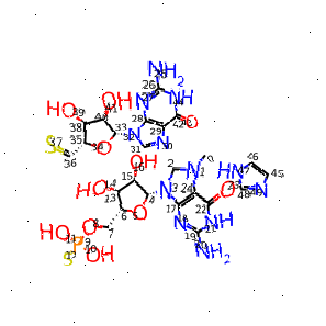 CN1CN([C@@H]2O[C@H](COP(O)(O)=S)[C@@H](O)[C@H]2O)c2nc(N)[nH]c(=O)c21.Nc1nc2c(ncn2[C@@H]2O[C@H](C=S)[C@@H](O)[C@H]2O)c(=O)[nH]1.c1c[nH]cn1